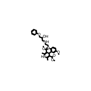 COC(=O)C1=C(C)NC(C)=C(C(=O)OC)C1c1cc(OC)ccc1OCCNCC(O)COc1ccccc1